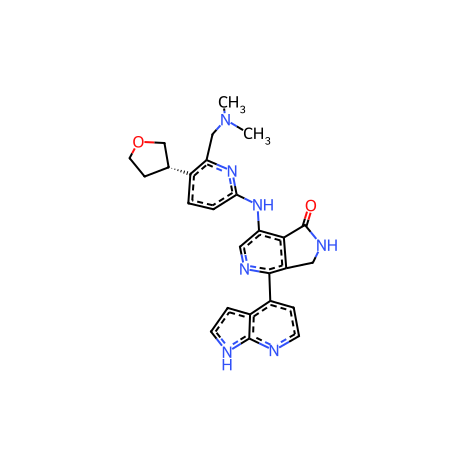 CN(C)Cc1nc(Nc2cnc(-c3ccnc4[nH]ccc34)c3c2C(=O)NC3)ccc1[C@@H]1CCOC1